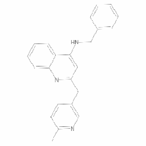 Cc1ccc(Cc2cc(NCc3ccccc3)c3ccccc3n2)cn1